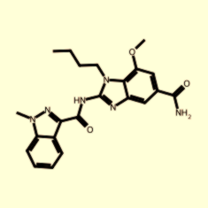 CCCCn1c(NC(=O)c2nn(C)c3ccccc23)nc2cc(C(N)=O)cc(OC)c21